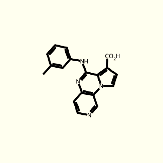 Cc1cccc(Nc2nc3ccncc3n3ccc(C(=O)O)c23)c1